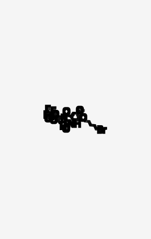 COc1cc2c(cc1OCCCCCBr)NC(=O)[C@@H]1CC(OS(=O)(=O)C(F)(F)F)=CN1C2=O